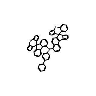 c1ccc(-c2ccc(N(c3cccc4c3-c3ccccc3C43c4ccccc4Oc4ccccc43)c3cccc4c5c(ccc34)C3(c4ccccc4Oc4ccccc43)c3ccccc3-5)cc2)cc1